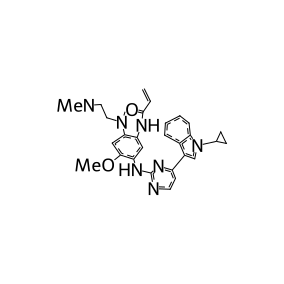 C=CC(=O)Nc1cc(Nc2nccc(-c3cn(C4CC4)c4ccccc34)n2)c(OC)cc1N(C)CCNC